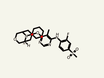 Cc1c(Nc2ccc(S(C)(=O)=O)cc2F)ncnc1OC1CC2COC[C@@H](C1)N2C1CCCCC1